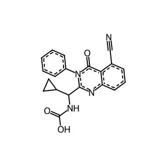 N#Cc1cccc2nc(C(NC(=O)O)C3CC3)n(-c3ccccc3)c(=O)c12